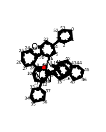 c1ccc(-c2cc(-n3c4ccccc4c4ccccc43)c3c(c2)oc2cccc(-c4nc(-c5ccccc5)nc(-c5ccc6ccccc6c5)n4)c23)cc1